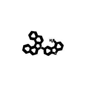 Bc1cccc2oc3ccc(-n4c5ccc6ccccc6c5c5c6ccccc6ccc54)cc3c12